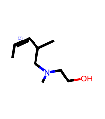 C/C=C\C(C)CN(C)CCO